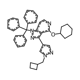 c1ccc(C(c2ccccc2)(c2ccccc2)n2nc(-c3cnn(CC4CCC4)c3)c3c(OC4CCCCC4)nccc32)cc1